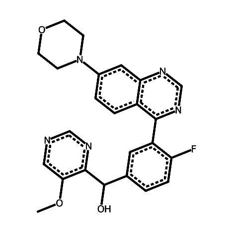 COc1cncnc1C(O)c1ccc(F)c(-c2ncnc3cc(N4CCOCC4)ccc23)c1